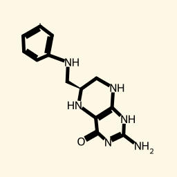 Nc1nc(=O)c2c([nH]1)NC[C@H](CNc1c[c]ccc1)N2